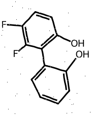 Oc1ccccc1-c1c(O)ccc(F)c1F